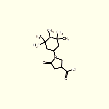 CN1C(C)(C)CC(N2CC(C(=O)Cl)CC2=O)CC1(C)C